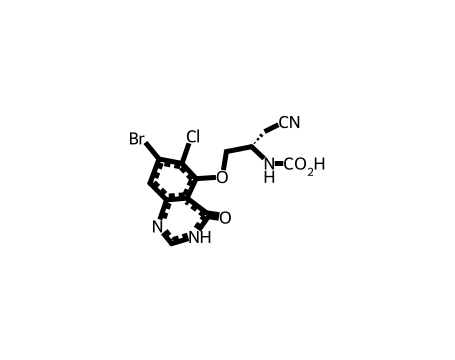 N#CC[C@@H](COc1c(Cl)c(Br)cc2nc[nH]c(=O)c12)NC(=O)O